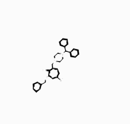 CC(C)c1ccc(CN2CCN(C(c3ccccc3)c3ccccc3)CC2)c(=O)c(OCc2ccccc2)c1